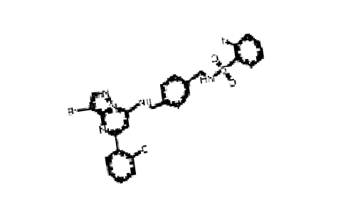 O=S(=O)(NCc1ccc(CNc2cc(-c3ccccc3Cl)nc3c(Br)cnn23)cc1)c1ccccc1F